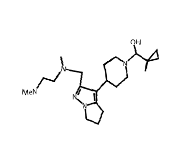 CNCCN(C)Cc1nn2c(c1C1CCN(C(O)C3(C)CC3)CC1)CCC2